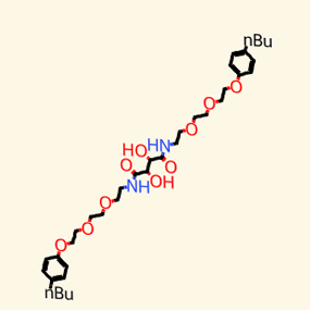 CCCCc1ccc(OCCOCCOCCNC(=O)C(O)C(O)C(=O)NCCOCCOCCOc2ccc(CCCC)cc2)cc1